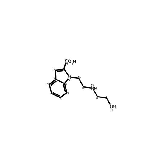 O=C(O)c1cc2ccccc2n1CCNCCO